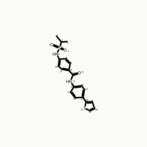 CC(C)S(=O)(=O)Nc1ccc(C(=O)Nc2ccc(-c3cccs3)cc2)cc1